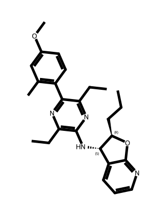 CCC[C@H]1Oc2ncccc2[C@@H]1Nc1nc(CC)c(-c2ccc(OC)cc2C)nc1CC